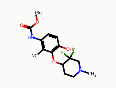 CN1CCC(Oc2c(O)ccc(NC(=O)OC(C)(C)C)c2C#N)C(F)(F)C1